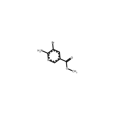 COC(=O)c1cnc(N)c(Br)c1